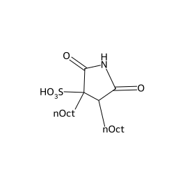 CCCCCCCCC1C(=O)NC(=O)C1(CCCCCCCC)S(=O)(=O)O